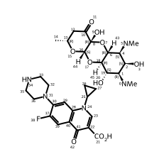 CN[C@@H]1[C@H](O)[C@H](NC)[C@H]2O[C@@]3(O)C(=O)C[C@@H](C)O[C@H]3O[C@@H]2[C@H]1O.O=C(O)c1cn(C2CC2)c2cc(N3CCNCC3)c(F)cc2c1=O